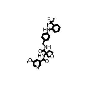 COc1cncc(C(=O)NC2(C(=O)NCc3ccc(Nc4ccccc4C(F)(F)F)cc3)CCOC2)c1